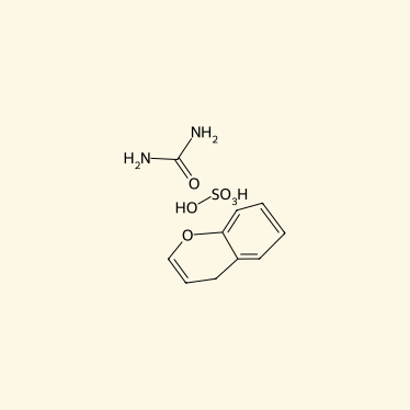 C1=COc2ccccc2C1.NC(N)=O.O=S(=O)(O)O